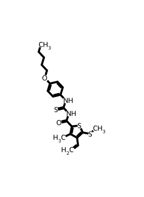 C=Cc1c(SC)sc(C(=O)NC(=S)Nc2ccc(OCCCCC)cc2)c1C